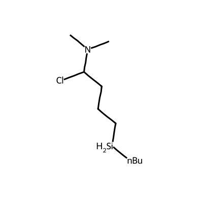 CCCC[SiH2]CCCC(Cl)N(C)C